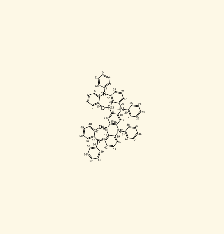 c1ccc(N2c3ccccc3OB3c4cc5c(cc4N(c4ccccc4)c4cccc2c43)N(c2ccccc2)c2cccc3c2B5Oc2ccccc2N3c2ccccc2)cc1